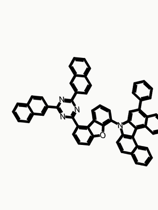 c1ccc(-c2cc3c(c4ccccc24)c2c4ccccc4ccc2n3-c2cccc3c2oc2cccc(-c4nc(-c5ccc6ccccc6c5)nc(-c5ccc6ccccc6c5)n4)c23)cc1